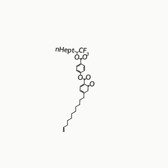 C=CCCCCCCCCCC1=CC=C(C(=O)Oc2ccc(C(=O)OC(CCCCCCC)C(F)(F)F)cc2)C(=O)C1